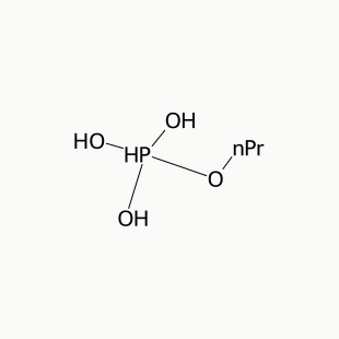 CCCO[PH](O)(O)O